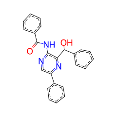 O=C(Nc1ncc(-c2ccccc2)nc1C(O)c1ccccc1)c1ccccc1